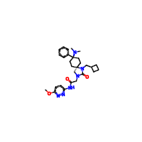 COc1ccc(NC(=O)CN2C[C@]3(CC[C@](c4ccccc4)(N(C)C)CC3)N(CC3CCC3)C2=O)nn1